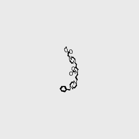 COC(=O)CN1CCN(CC2CN(CCCN3CCN(Cc4ccccc4)CC3)C(=O)O2)CC1